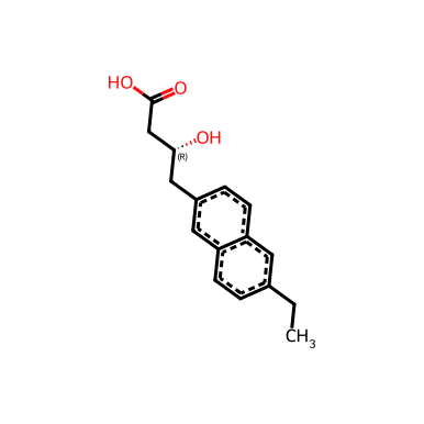 CCc1ccc2cc(C[C@@H](O)CC(=O)O)ccc2c1